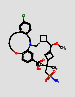 CO[C@@H](C1=CC(C(C)(C)CS(N)(=O)=O)C1)[C@@H]1CC[C@H]1CN1Cc2ccc(Cl)cc2CCCCOc2ccc(C(=O)O)cc21